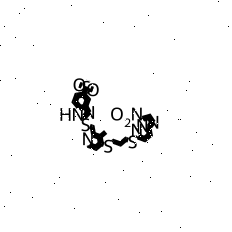 Cc1c(SCCCSc2ccc3ncc([N+](=O)[O-])n3n2)ccnc1CSc1nc2cc(S(C)(=O)=O)ccc2[nH]1